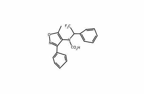 Cc1onc(-c2ccccc2)c1N(C(=O)O)C(c1ccccc1)C(F)(F)F